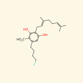 CC(C)=CCC/C(C)=C/Cc1c(O)cc(CCCCF)c(C(=O)O)c1O